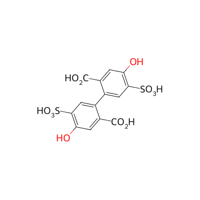 O=C(O)c1cc(O)c(S(=O)(=O)O)cc1-c1cc(S(=O)(=O)O)c(O)cc1C(=O)O